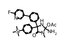 CC(=O)OC1(N)NC(c2ccc([Si](C)(C)C)cc2)(c2cccc(-c3ccc(F)nc3)c2)C(=O)N1C